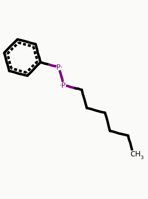 CCCCCC[P][P]c1ccccc1